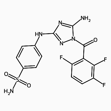 Nc1nc(Nc2ccc(S(N)(=O)=O)cc2)nn1C(=O)c1c(F)ccc(F)c1F